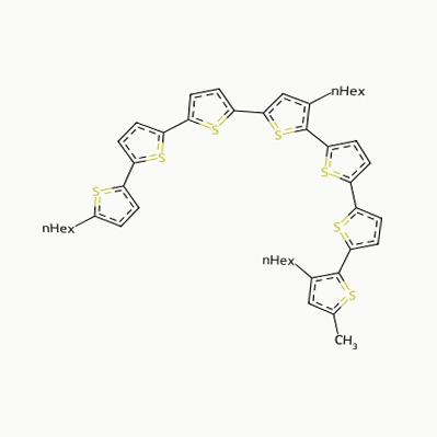 CCCCCCc1ccc(-c2ccc(-c3ccc(-c4cc(CCCCCC)c(-c5ccc(-c6ccc(-c7sc(C)cc7CCCCCC)s6)s5)s4)s3)s2)s1